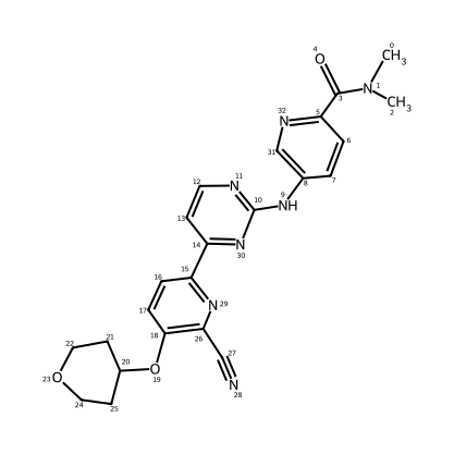 CN(C)C(=O)c1ccc(Nc2nccc(-c3ccc(OC4CCOCC4)c(C#N)n3)n2)cn1